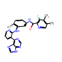 Cc1ccc(NC(=O)c2ncc(C)c(C(F)(F)F)c2F)cc1Nc1ncccc1-c1ncnc2[nH]cnc12